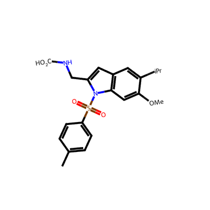 COc1cc2c(cc1C(C)C)cc(CNC(=O)O)n2S(=O)(=O)c1ccc(C)cc1